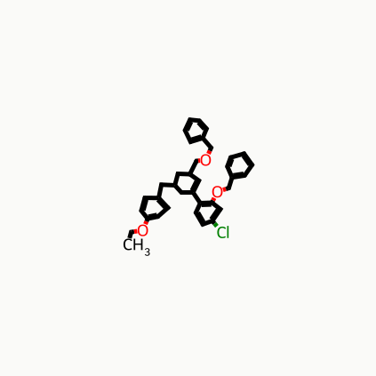 CCOc1ccc(CC2CC(c3ccc(Cl)cc3OCc3ccccc3)=CC(COCc3ccccc3)C2)cc1